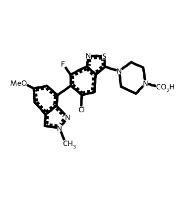 COc1cc(-c2c(Cl)cc3c(N4CCN(C(=O)O)CC4)snc3c2F)c2nn(C)cc2c1